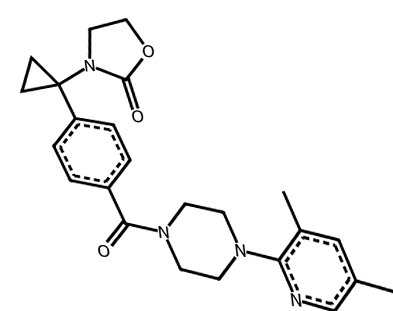 Cc1cnc(N2CCN(C(=O)c3ccc(C4(N5CCOC5=O)CC4)cc3)CC2)c(C)c1